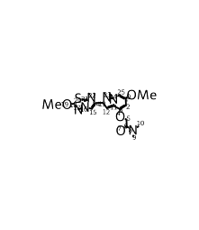 COc1cc(OCC(=O)N(C)C)c2cc(-c3cn4nc(OC)sc4n3)nn2c1